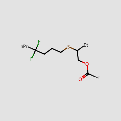 CCCC(F)(F)CCCSC(CC)COC(=O)CC